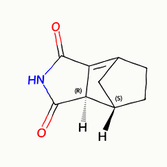 O=C1NC(=O)[C@H]2C1=C1CC[C@H]2C1